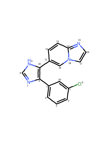 Clc1cccc(-c2nc[nH]c2-c2ccc3nccn3c2)c1